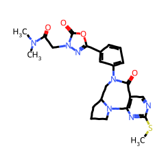 CSc1ncc2c(n1)N1CCCC1CN(c1cccc(-c3nn(CC(=O)N(C)C)c(=O)o3)c1)C2=O